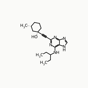 CCC(CC)Nc1nc(C#C[C@]2(O)CCC[C@@H](C)C2)nc2nc[nH]c12